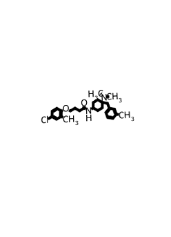 Cc1cccc(CC2(N(C)C)CCC(NC(=O)CCCOc3ccc(Cl)cc3C)CC2)c1